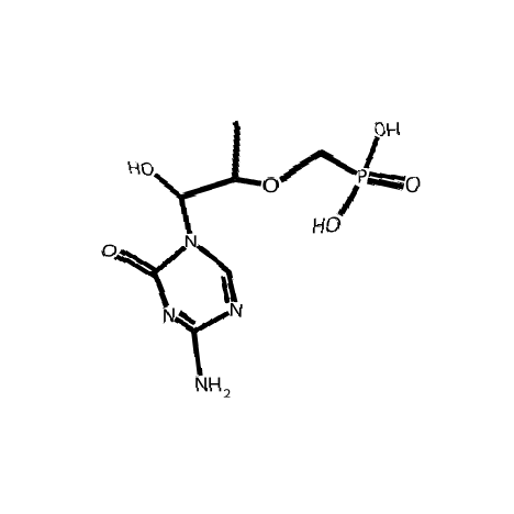 CC(OCP(=O)(O)O)C(O)n1cnc(N)nc1=O